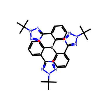 CC(C)(C)n1nnc(-c2ccccc2B(c2ccccc2-c2nnn(C(C)(C)C)n2)c2ccccc2-c2nnn(C(C)(C)C)n2)n1